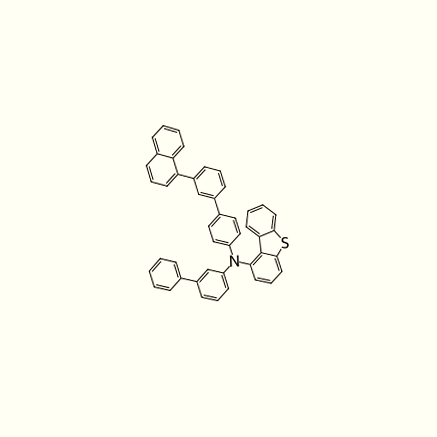 c1ccc(-c2cccc(N(c3ccc(-c4cccc(-c5cccc6ccccc56)c4)cc3)c3cccc4sc5ccccc5c34)c2)cc1